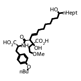 CCCCCCCC(O)CCCCCC/C=C/[C@H](C(=O)N[C@@H](Cc1ccc(OCCCC)cc1)C(=O)O)[C@@](O)(CCOC)C(=O)O